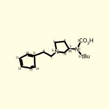 CC(C)(C)N(C(=O)O)[C@@H]1CCN(CCc2ccccc2)C1